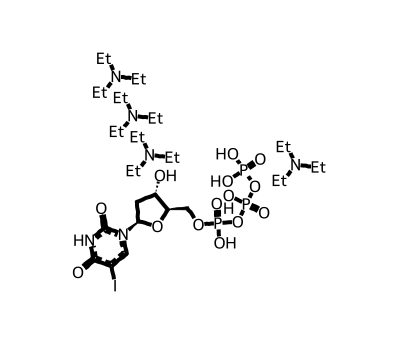 CCN(CC)CC.CCN(CC)CC.CCN(CC)CC.CCN(CC)CC.O=c1[nH]c(=O)n([C@H]2C[C@H](O)[C@@H](COP(=O)(O)OP(=O)(O)OP(=O)(O)O)O2)cc1I